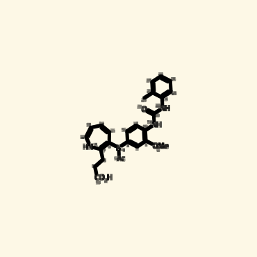 COc1cc(N(C(C)=O)C2=C(CCC(=O)O)NC=CC=C2)ccc1NC(=O)Nc1ccccc1C